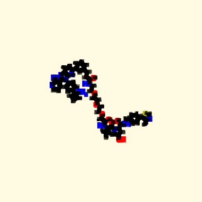 Cc1ncsc1-c1ccc(CNC(=O)[C@@H]2C[C@@H](O)CN2C(=O)C(NC(=O)COCCOCCOCCNC(=O)CCc2cccc(-c3ccc4nc(-c5cccnc5N)n(-c5ccc(C6(N)CCC6)cc5)c4n3)c2)C(C)(C)C)cc1